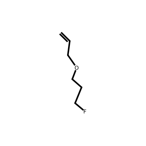 C=CCOCCCF